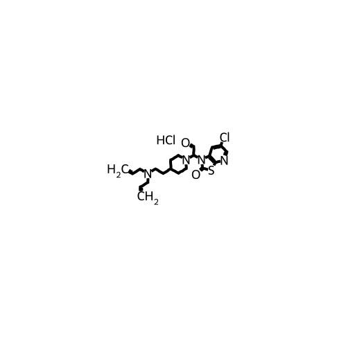 C=CCN(CC=C)CCC1CCN(C(C=O)n2c(=O)sc3ncc(Cl)cc32)CC1.Cl